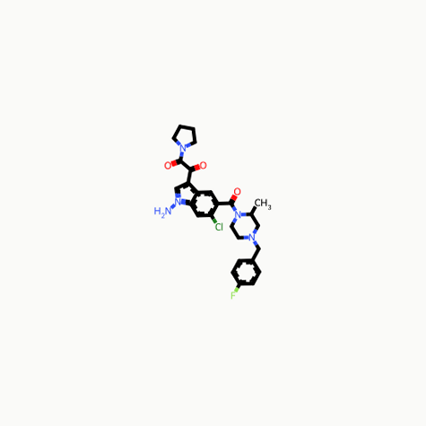 CC1CN(Cc2ccc(F)cc2)CCN1C(=O)c1cc2c(C(=O)C(=O)N3CCCC3)cn(N)c2cc1Cl